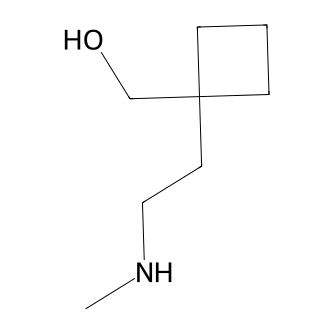 CNCCC1(CO)CCC1